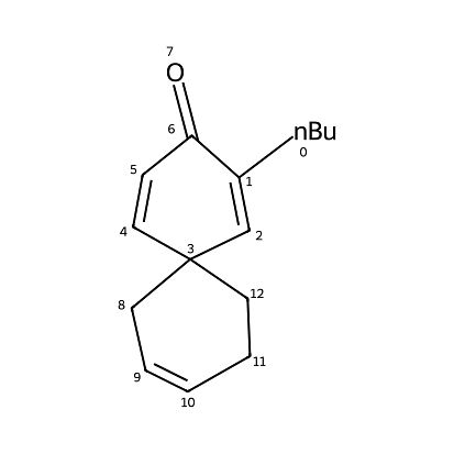 CCCCC1=CC2(C=CC1=O)CC=CCC2